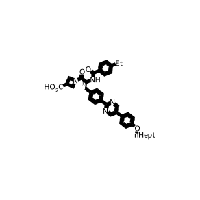 CCCCCCCOc1ccc(-c2cnc(-c3ccc(C[C@H](NC(=O)c4ccc(CC)cc4)C(=O)N4CC(C(=O)O)C4)cc3)nc2)cc1